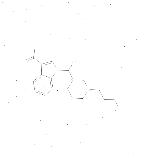 CCCCN1CCCC(C(C)n2cc(C(=O)O)c3ccccc32)C1.Cl